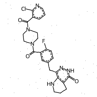 O=C(c1cc(Cc2n[nH]c(=O)c3c2NCCC3)ccc1F)N1CCN(C(=O)c2cccnc2Cl)CC1